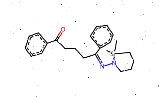 C[Si]1(C)CCCCN1N=C(CCCC(=O)c1ccccc1)c1ccccc1